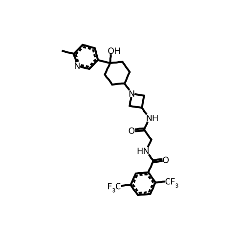 Cc1ccc(C2(O)CCC(N3CC(NC(=O)CNC(=O)c4cc(C(F)(F)F)ccc4C(F)(F)F)C3)CC2)cn1